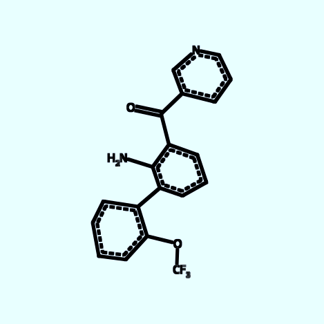 Nc1c(C(=O)c2cccnc2)cccc1-c1ccccc1OC(F)(F)F